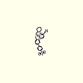 CS(=O)(=O)c1ccc(-c2ccc(CN(CC3CCCCC3)c3nccc(C#N)n3)cc2)cc1